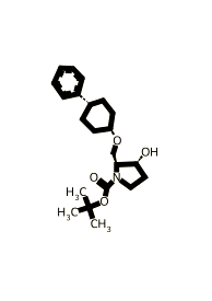 CC(C)(C)OC(=O)N1CC[C@@H](O)[C@@H]1CO[C@H]1CC[C@@H](c2ccccc2)CC1